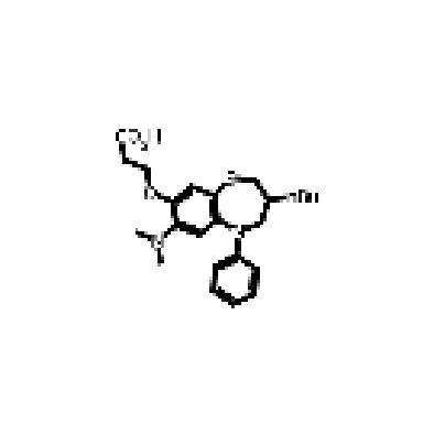 CCCCC1CSc2cc(OCCC(=O)O)c(N(C)C)cc2N(c2ccccc2)C1